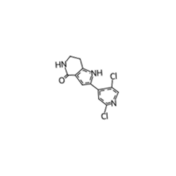 O=C1NCCc2[nH]c(-c3cc(Cl)ncc3Cl)cc21